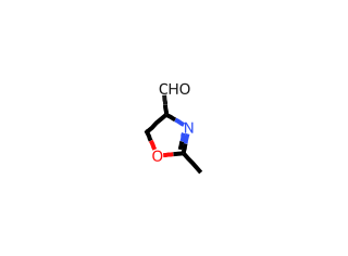 CC1=NC(C=O)CO1